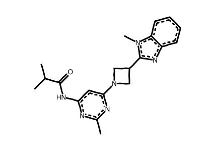 Cc1nc(NC(=O)C(C)C)cc(N2CC(c3nc4ccccc4n3C)C2)n1